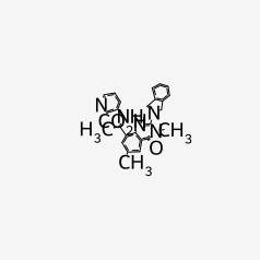 Cc1cc([C@@H](C)Nc2cccnc2C(=O)O)c2nc(N3Cc4ccccc4C3)n(C)c(=O)c2c1